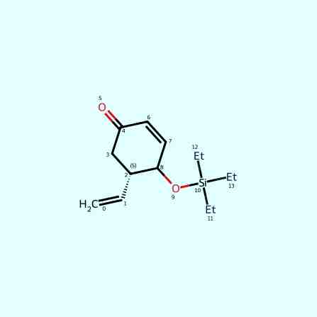 C=C[C@@H]1CC(=O)C=CC1O[Si](CC)(CC)CC